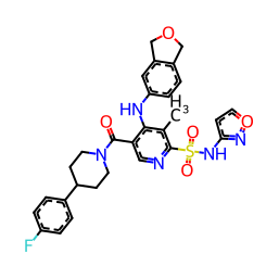 Cc1c(S(=O)(=O)Nc2ccon2)ncc(C(=O)N2CCC(c3ccc(F)cc3)CC2)c1Nc1ccc2c(c1)COC2